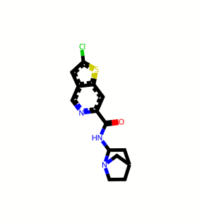 O=C(NC1CC2CCN1C2)c1cc2sc(Cl)cc2cn1